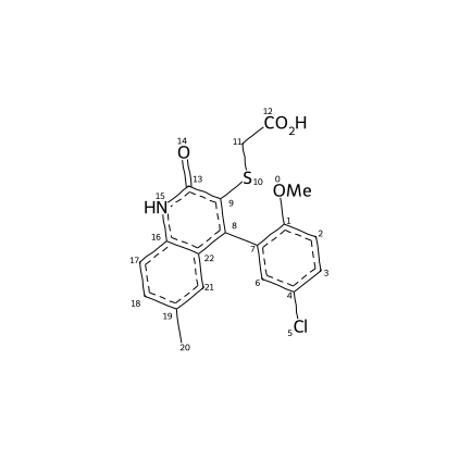 COc1ccc(Cl)cc1-c1c(SCC(=O)O)c(=O)[nH]c2ccc(C)cc12